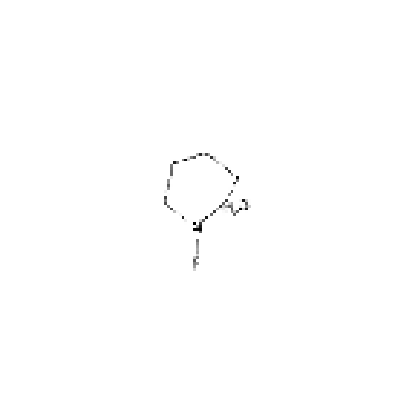 O.[F][Al]1[CH2]CCC[CH2]1